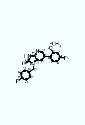 COc1cc(F)ccc1-c1cnc2[nH]c(=O)n(Cc3ccc(F)cc3)c2c1